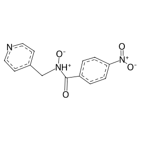 O=C(c1ccc([N+](=O)[O-])cc1)[NH+]([O-])Cc1ccncc1